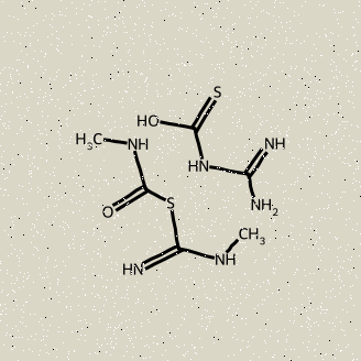 CNC(=N)SC(=O)NC.N=C(N)NC(O)=S